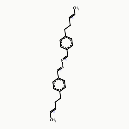 C/C=C/CCc1ccc(/C=N/N=C/c2ccc(CC/C=C/C)cc2)cc1